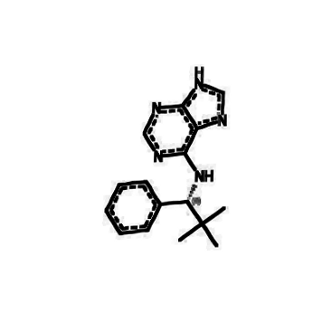 CC(C)(C)[C@@H](Nc1ncnc2[nH]cnc12)c1ccccc1